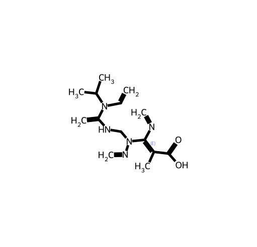 C=CN(C(=C)NCN(N=C)/C(N=C)=C(\C)C(=O)O)C(C)C